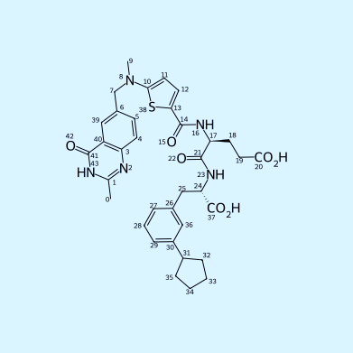 Cc1nc2ccc(CN(C)c3ccc(C(=O)N[C@@H](CCC(=O)O)C(=O)N[C@@H](Cc4cccc(C5CCCC5)c4)C(=O)O)s3)cc2c(=O)[nH]1